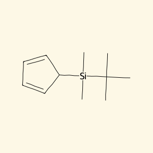 CC(C)(C)[Si](C)(C)C1C=CC=C1